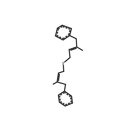 CC(=CCSCC=C(C)Cc1ccccc1)Cc1ccccc1